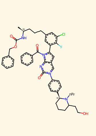 CCCN1C(CCO)CCC[C@H]1c1ccc(-n2cc3cc(-c4cc(CCC[C@H](C)NC(=O)OCc5ccccc5)cc(Cl)c4F)n(C(=O)c4ccccc4)c3nc2=O)cc1